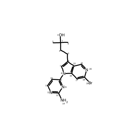 CC(C)(O)CCc1cn(-c2ccnc(N)n2)c2cc(Br)ncc12